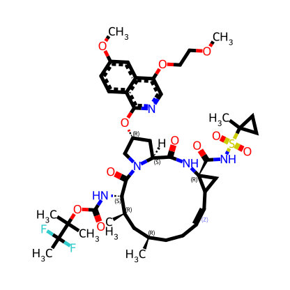 COCCOc1cnc(O[C@@H]2C[C@H]3C(=O)N[C@]4(C(=O)NS(=O)(=O)C5(C)CC5)CC4/C=C\CC[C@@H](C)C[C@@H](C)[C@H](NC(=O)OC(C)(C)C(C)(F)F)C(=O)N3C2)c2ccc(OC)cc12